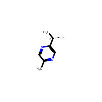 Cc1cnc([C@H](C)C(C)(C)C)cn1